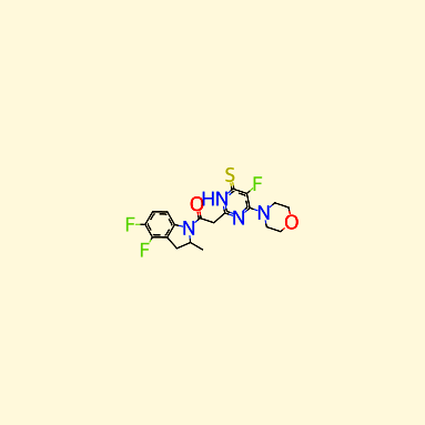 CC1Cc2c(ccc(F)c2F)N1C(=O)Cc1nc(N2CCOCC2)c(F)c(=S)[nH]1